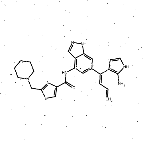 C=C/C=C(/c1cc(NC(=O)c2csc(CN3CCCCC3)n2)c2cn[nH]c2c1)c1cc[nH]c1N